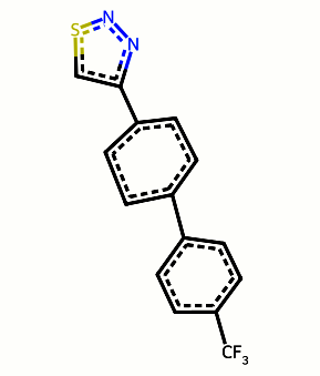 FC(F)(F)c1ccc(-c2ccc(-c3csnn3)cc2)cc1